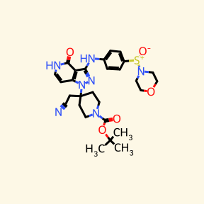 CC(C)(C)OC(=O)N1CCC(CC#N)(n2nc(Nc3ccc([S+]([O-])N4CCOCC4)cc3)c3c(=O)[nH]ccc32)CC1